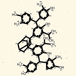 Cc1cc(C(c2ccc(O)c(C)c2)c2cc(C34CC5CC(C3)CC(c3cc(C(C)C)c(O)c(C(c6ccc(O)c(C)c6)c6ccc(O)c(C)c6)c3)(C5)C4)cc(C(C)C)c2O)ccc1O